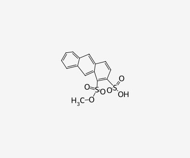 COS(=O)(=O)c1c(S(=O)(=O)O)ccc2cc3ccccc3cc12